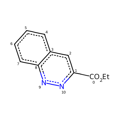 CCOC(=O)c1cc2ccccc2nn1